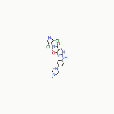 CN1CCN(c2ccc(Nc3ncc4c(n3)OCN(c3c(Cl)cncc3Cl)C4=O)cc2)CC1